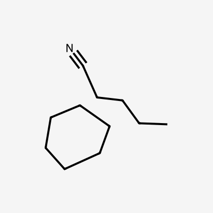 C1CCCCC1.CCCCC#N